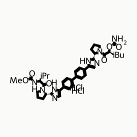 CCC(C)[C@H](OC(N)=O)C(=O)N1CCC[C@H]1c1ncc(-c2ccc(-c3ccc(-c4cnc([C@@H]5CCCN5C(=O)[C@@H](NC(=O)OC)C(C)C)[nH]4)cc3)cc2)[nH]1.Cl.Cl